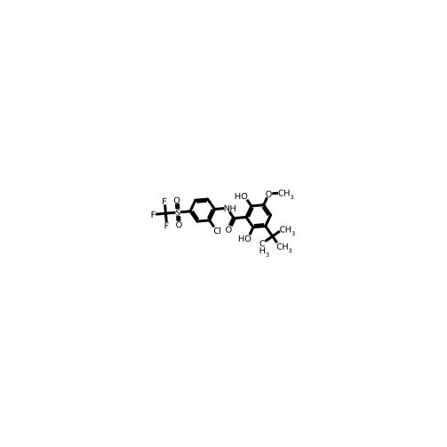 COc1cc(C(C)(C)C)c(O)c(C(=O)Nc2ccc(S(=O)(=O)C(F)(F)F)cc2Cl)c1O